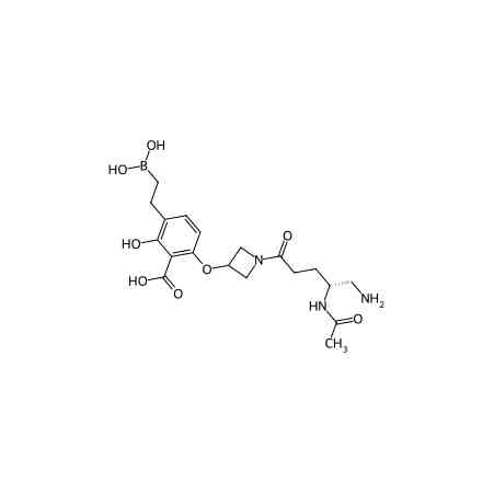 CC(=O)N[C@@H](CN)CCC(=O)N1CC(Oc2ccc(CCB(O)O)c(O)c2C(=O)O)C1